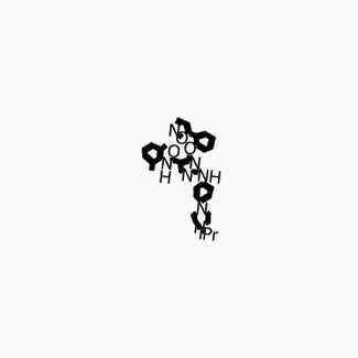 Cc1cccc(C)c1NC(=O)c1cnc(Nc2ccc(N3CCN(C(C)C)CC3)cc2)nc1Oc1ccccc1-c1ccno1